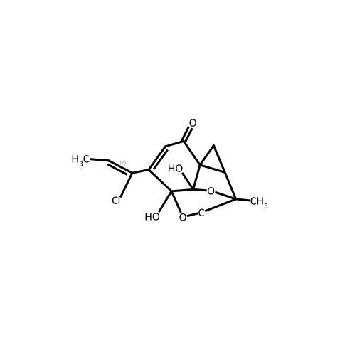 C/C=C(\Cl)C1=CC(=O)C23CC2C2(C)COC1(O)C3(O)O2